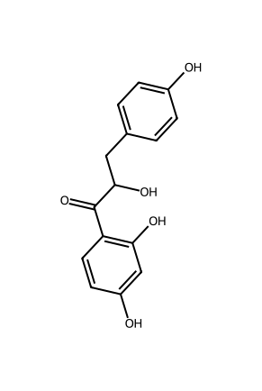 O=C(c1ccc(O)cc1O)C(O)Cc1ccc(O)cc1